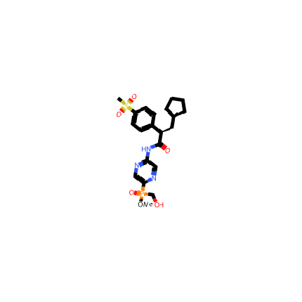 COP(=O)(CO)c1cnc(NC(=O)[C@H](CC2CCCC2)c2ccc(S(C)(=O)=O)cc2)cn1